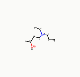 C=CCN(CC)CCC(C)O